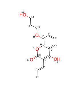 CC=Cc1c(O)c2cccc(OCCCO)c2oc1=O